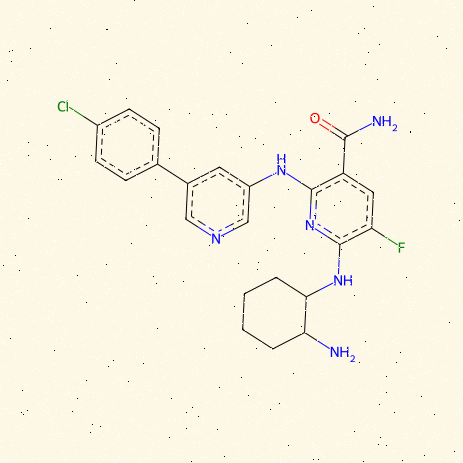 NC(=O)c1cc(F)c(NC2CCCCC2N)nc1Nc1cncc(-c2ccc(Cl)cc2)c1